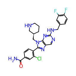 NC(=O)c1ccc(-c2nc3cnc(NCc4ccc(F)c(F)c4)nc3n2C[C@@H]2CCCNC2)c(Cl)c1